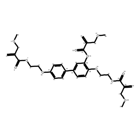 C=C(COC)C(=O)OCCOc1ccc(-c2ccc(OCCOC(=O)C(=C)COC)c(OC(=O)C(=C)COC)c2)cc1